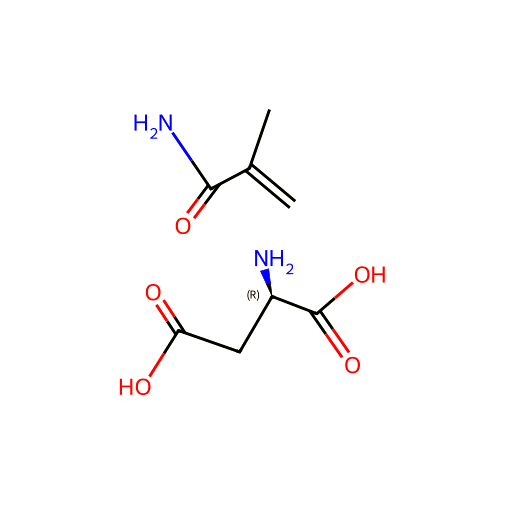 C=C(C)C(N)=O.N[C@H](CC(=O)O)C(=O)O